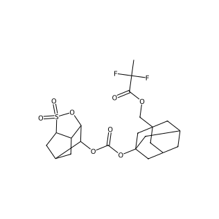 CC(F)(F)C(=O)OCC12CC3CC(C1)CC(OC(=O)OC1C4CC5C1OS(=O)(=O)C5C4)(C3)C2